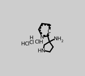 Cl.Cl.Cl.NC1(c2ccccn2)CCNC1